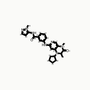 CC1C(=O)N(C)c2cnc(Nc3cccc(C(=O)Nc4ccnn4C)c3)cc2N1C1CCCC1